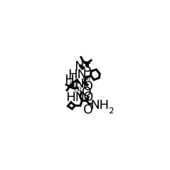 Cc1nc(N[C@H](C(=O)N2C[C@H]3C([C@H]2C(=O)NC(CC2CCC2)C(=O)C(N)=O)C3(C)C)C2CCCCC2)sc1C